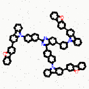 c1cc(-c2ccc3nc(-c4ccc5cc(-n6c7ccccc7c7ccc(-c8ccc9c(c8)oc8ccccc89)cc76)ccc5c4)nc(-c4ccc5cc(-n6c7ccccc7c7ccc(-c8ccc9c(c8)oc8ccccc89)cc76)ccc5c4)c3c2)cc(-n2c3ccccc3c3ccc(-c4ccc5c(c4)oc4ccccc45)cc32)c1